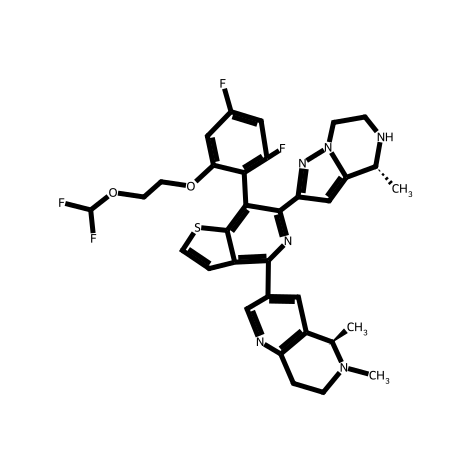 C[C@@H]1c2cc(-c3nc(-c4cc5n(n4)CCN[C@@H]5C)c(-c4c(F)cc(F)cc4OCCOC(F)F)c4sccc34)cnc2CCN1C